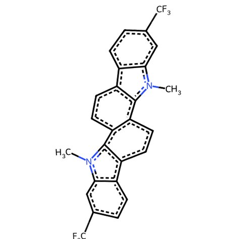 Cn1c2cc(C(F)(F)F)ccc2c2ccc3c(ccc4c5ccc(C(F)(F)F)cc5n(C)c43)c21